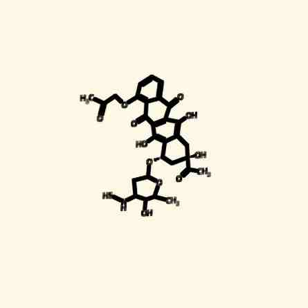 CC(=O)COc1cccc2c1C(=O)c1c(O)c3c(c(O)c1C2=O)C[C@@](O)(C(C)=O)C[C@@H]3OC1CC(NS)C(O)C(C)O1